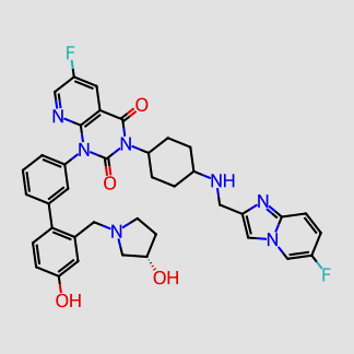 O=c1c2cc(F)cnc2n(-c2cccc(-c3ccc(O)cc3CN3CC[C@H](O)C3)c2)c(=O)n1C1CCC(NCc2cn3cc(F)ccc3n2)CC1